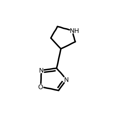 c1nc(C2CCNC2)no1